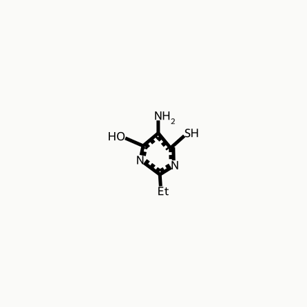 CCc1nc(O)c(N)c(S)n1